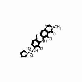 Cn1cnc2ccc(Nc3c(F)ccc(NS(=O)(=O)N4CCCC4)c3Cl)c(Cl)c2c1=O